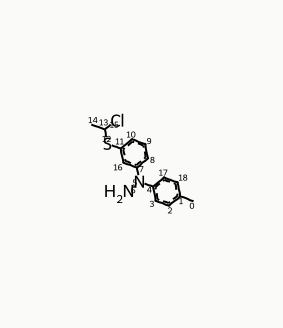 Cc1ccc(N(N)c2cccc(SC(C)Cl)c2)cc1